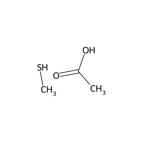 CC(=O)O.CS